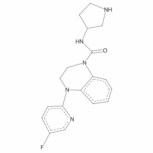 O=C(NC1CCNC1)N1CCN(c2ccc(F)cn2)c2ccccc21